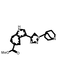 COC(=O)c1ccc2[nH]cc(-c3cn(C4CN5CCC4CC5)nn3)c2c1